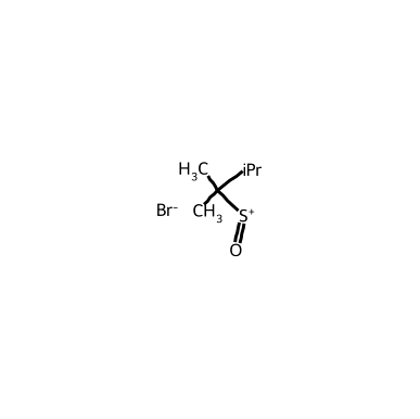 CC(C)C(C)(C)[S+]=O.[Br-]